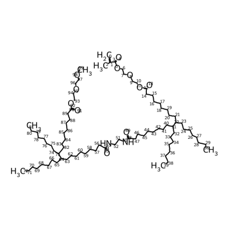 C=C(C)C(=O)OCCOCCOC(=O)CCCCCCCCC(CCCCCCCC)C(CCCCCCCC)CCCCCCCCC(=O)NCCNC(=O)CCCCCCCCC(CCCCCCCC)C(CCCCCCCC)CCCCCCCCC(=O)OCCOCCOC